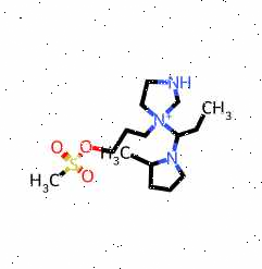 CCC(N1CCCC1C)[N+]1(CCCOS(C)(=O)=O)CCNC1